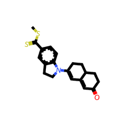 CSC(=S)c1ccc2c(c1)CCN2C1=CC2=CC(=O)CCC2CC1